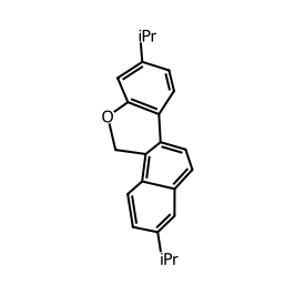 CC(C)c1ccc2c(c1)OCc1c-2ccc2cc(C(C)C)ccc12